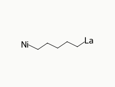 [Ni][CH2]CCC[CH2][La]